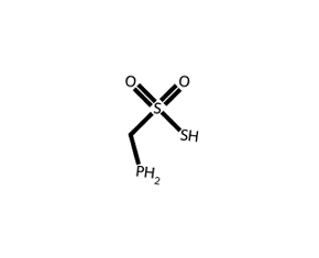 O=S(=O)(S)CP